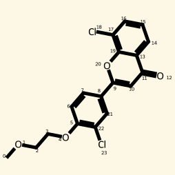 COCCOc1ccc(-c2cc(=O)c3cccc(Cl)c3o2)cc1Cl